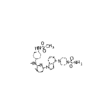 CS(=O)(=O)NC1CCC(Nc2nccc(-n3ccc4c(N5CCN(S(N)(=O)=O)CC5)cccc43)n2)CC1